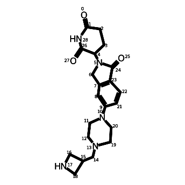 O=C1CCC(N2Cc3cc(N4CCN(CC5CNC5)CC4)ccc3C2=O)C(=O)N1